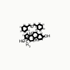 C[C@]12CC[C@@H]3c4ccc(O)cc4CC[C@H]3[C@@H]1CC[C@@H]2O.c1ccc(COCc2ccccc2)cc1